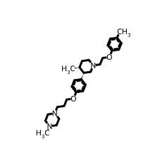 Cc1ccc(OCCN2CC[C@@H](C)[C@@H](c3ccc(OCCCN4CCN(C)CC4)cc3)C2)cc1